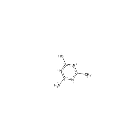 [CH2]c1nc(N)nc(O)n1